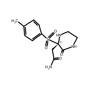 Cc1ccc(S(=O)(=O)[C@]2(CC(N)=O)NCCNC2=O)cc1